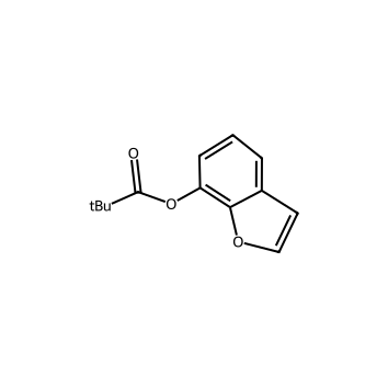 CC(C)(C)C(=O)Oc1cccc2ccoc12